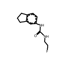 O=C(NCCF)Nc1ccc2c(c1)CCC2